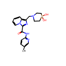 N#Cc1ccc(NC(=O)c2nc(CN3CCS(O)(O)CC3)c3ccccn23)nc1